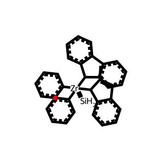 CC1=Cc2ccccc2[CH]1[Zr](=[SiH2])([c]1ccccc1)([c]1ccccc1)[CH]1c2ccccc2-c2ccccc21